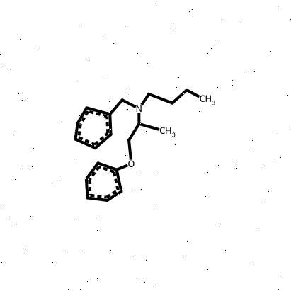 CCCCN(Cc1ccccc1)C(C)COc1ccccc1